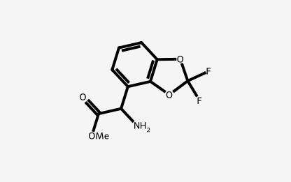 COC(=O)C(N)c1cccc2c1OC(F)(F)O2